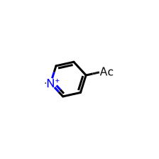 CC(=O)C1=CC=[N+]C=C1